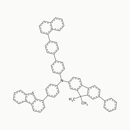 CC1(C)c2cc(-c3ccccc3)ccc2-c2ccc(N(c3ccc(-c4ccc(-c5cccc6ccccc56)cc4)cc3)c3ccc(-c4cccc5c4sc4ccccc45)cc3)cc21